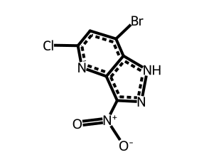 O=[N+]([O-])c1n[nH]c2c(Br)cc(Cl)nc12